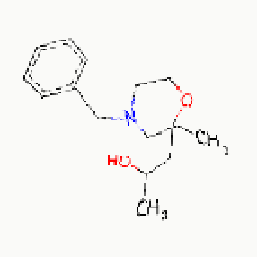 CC(O)CC1(C)CN(Cc2ccccc2)CCO1